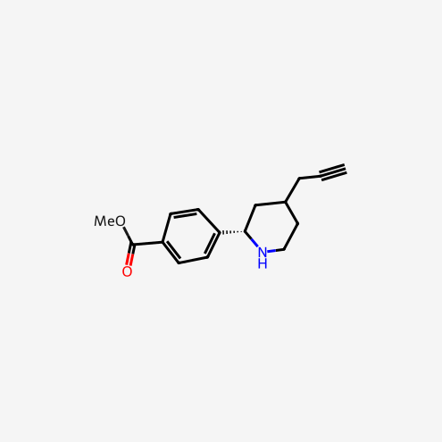 C#CCC1CCN[C@H](c2ccc(C(=O)OC)cc2)C1